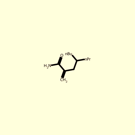 C=C(CC(CCC)CCCC)C(N)=O